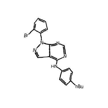 CCCCc1ccc(Nc2ncnc3c2cnn3-c2ccccc2Br)cc1